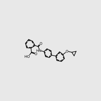 O=C(O)c1ccccc1C(=O)Nc1ccc(-c2cccc(OC3CC3)c2)cc1